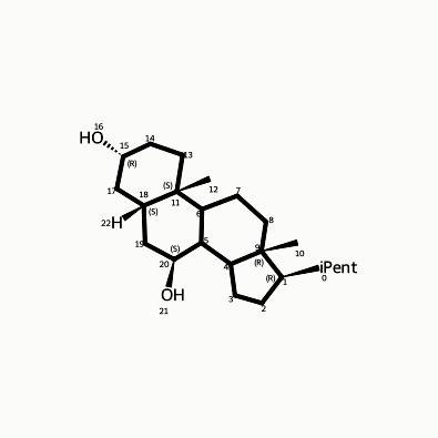 CCCC(C)[C@H]1CCC2C3C(CC[C@@]21C)[C@@]1(C)CC[C@@H](O)C[C@H]1C[C@@H]3O